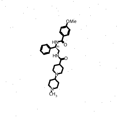 COc1ccc(C(=O)N[C@@H](CNC(=O)C2CCN(C3CCN(C)CC3)CC2)c2ccccc2)cc1